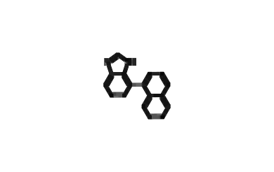 c1ccc2c(-c3cccc4nc[nH]c34)cccc2c1